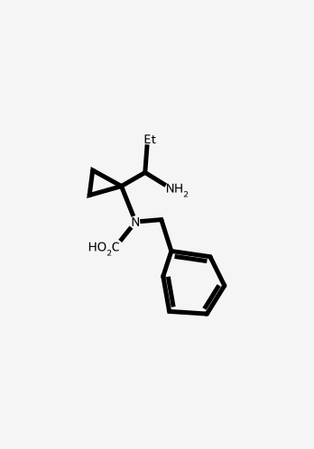 CCC(N)C1(N(Cc2ccccc2)C(=O)O)CC1